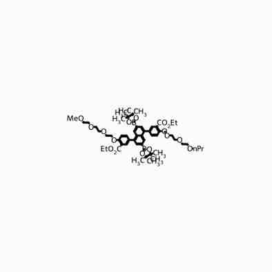 CCCOCCOCCOOc1ccc(-c2cc(B3OC(C)(C)C(C)(C)O3)cc3c(-c4ccc(OCCOCCOCCOC)c(C(=O)OCC)c4)cc(B4OC(C)(C)C(C)(C)O4)cc23)cc1C(=O)OCC